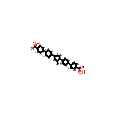 Cc1cc(-c2ccc(-c3ccc(C(=O)O)cc3)cc2)ccc1-c1ccc(-c2ccc(C(=O)O)cc2)cc1